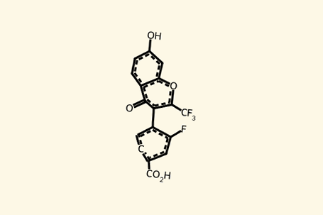 O=C(O)c1ccc(-c2c(C(F)(F)F)oc3cc(O)ccc3c2=O)c(F)c1